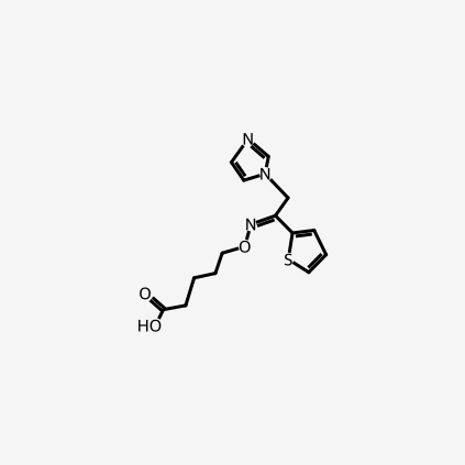 O=C(O)CCCCON=C(Cn1ccnc1)c1cccs1